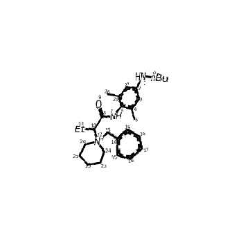 CCCCNc1cc(C)c(NC(=O)C(CC)[N+]2(Cc3ccccc3)CCCCC2)c(C)c1